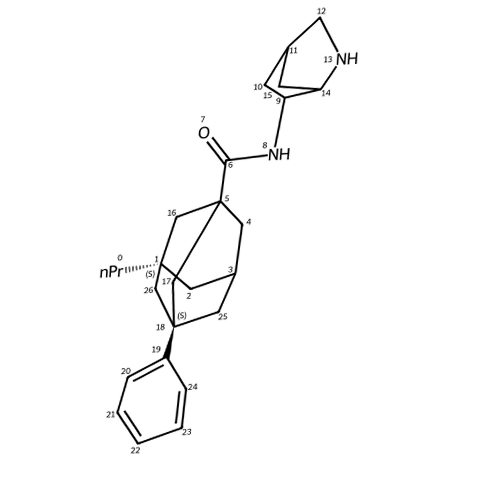 CCC[C@@]12CC3CC(C(=O)NC4CC5CNC4C5)(C1)C[C@](c1ccccc1)(C3)C2